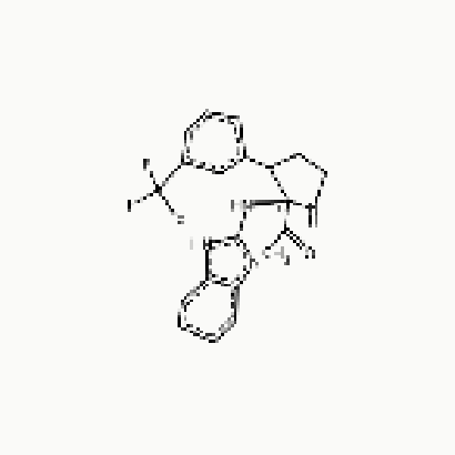 [CH2]C(=O)[C@@]1(Nc2nc3ccccc3[nH]2)NCCC1c1cccc(C(F)(F)F)c1